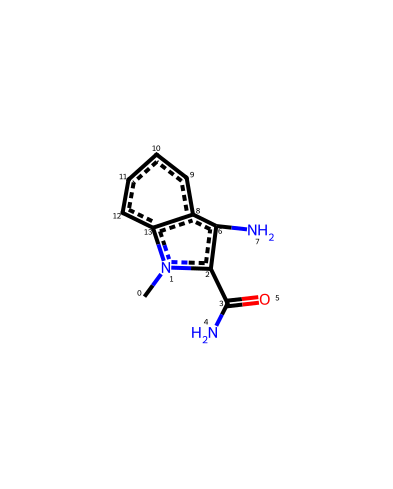 Cn1c(C(N)=O)c(N)c2ccccc21